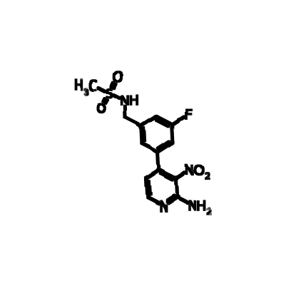 CS(=O)(=O)NCc1cc(F)cc(-c2ccnc(N)c2[N+](=O)[O-])c1